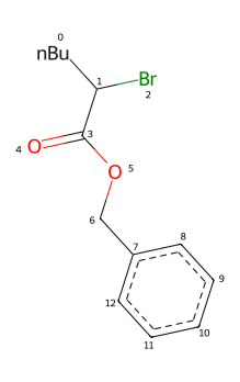 CCCCC(Br)C(=O)OCc1ccccc1